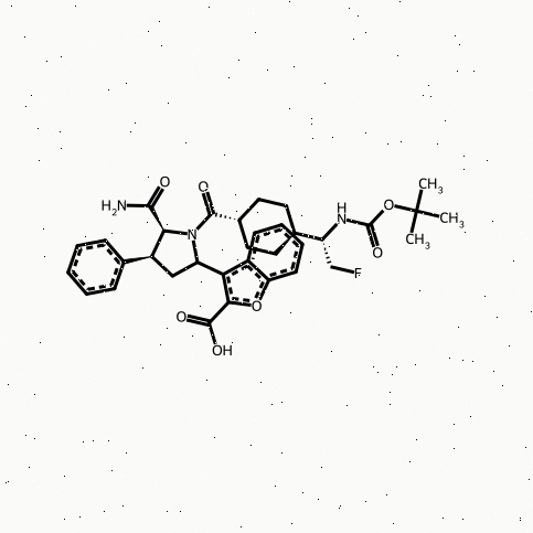 CC(C)(C)OC(=O)N[C@H](CF)[C@H]1CC[C@H](C(=O)N2C(c3c(C(=O)O)oc4ccccc34)C[C@@H](c3ccccc3)[C@H]2C(N)=O)CC1